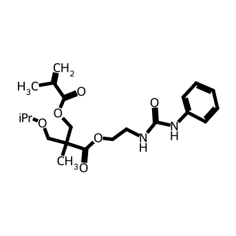 C=C(C)C(=O)OCC(C)(COC(C)C)C(=O)OCCNC(=O)Nc1ccccc1